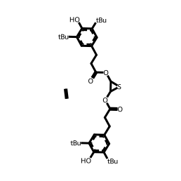 C=C.CC(C)(C)c1cc(CCC(=O)OC2SC2OC(=O)CCc2cc(C(C)(C)C)c(O)c(C(C)(C)C)c2)cc(C(C)(C)C)c1O